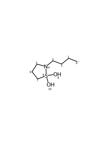 [CH2]CCCN1CCCS1(O)O